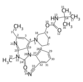 CCc1cc(N2CCCC(OC(=O)NC(C)(C)C)C2)c2c(n1)n(C)c(=O)n2-c1ccccc1C#N